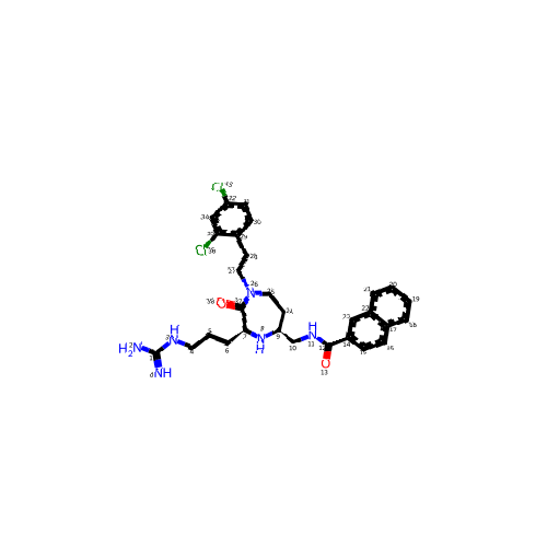 N=C(N)NCCC[C@@H]1N[C@H](CNC(=O)c2ccc3ccccc3c2)CCN(CCc2ccc(Cl)cc2Cl)C1=O